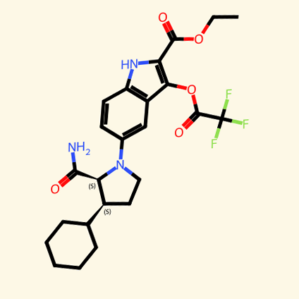 CCOC(=O)c1[nH]c2ccc(N3CC[C@@H](C4CCCCC4)[C@H]3C(N)=O)cc2c1OC(=O)C(F)(F)F